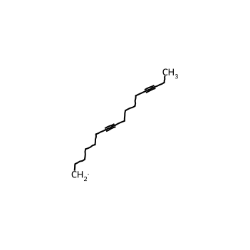 [CH2]CCCCCC#CCCCCC#CCC